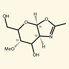 CO[C@@H]1C(CO)O[C@H]2OC(C)=N[C@H]2C1O